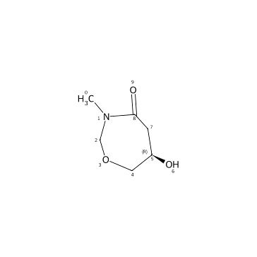 CN1COC[C@H](O)CC1=O